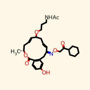 CC(=O)NCCCOC1/C=C/C[C@@H](C)OC(=O)c2ccc(O)cc2CC(=N/OCC(=O)C2CCCCC2)/C=C/C1